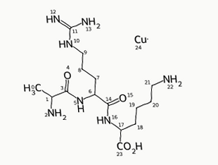 CC(N)C(=O)NC(CCCNC(=N)N)C(=O)NC(CCCCN)C(=O)O.[Cu]